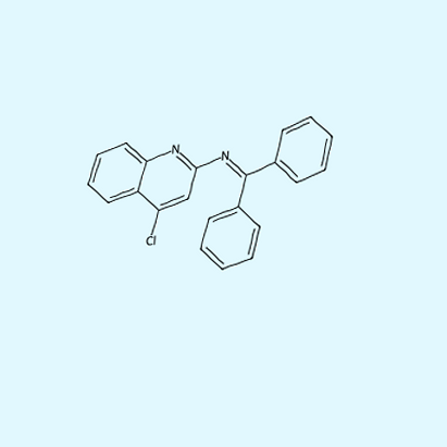 Clc1cc(N=C(c2ccccc2)c2ccccc2)nc2ccccc12